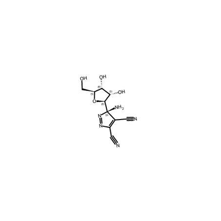 N#CC1=C(C#N)[C@@](N)([C@H]2O[C@@H](CO)[C@H](O)[C@@H]2O)N=N1